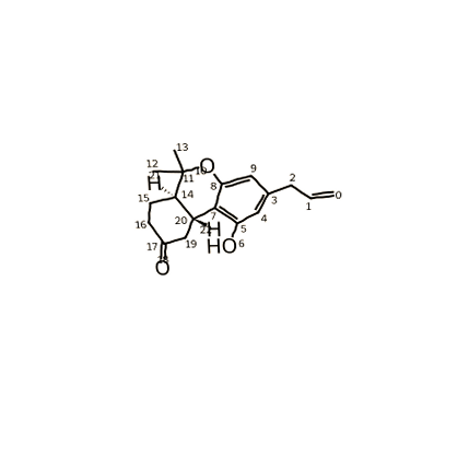 C=CCc1cc(O)c2c(c1)OC(C)(C)[C@@H]1CCC(=O)C[C@@H]21